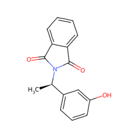 C[C@H](c1cccc(O)c1)N1C(=O)c2ccccc2C1=O